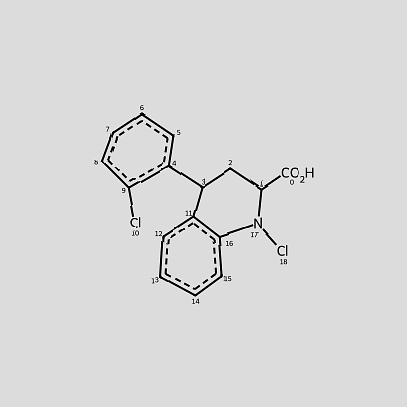 O=C(O)C1CC(c2ccccc2Cl)c2ccccc2N1Cl